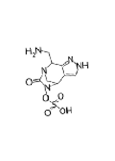 NCC1c2n[nH]cc2C2CN1C(=O)N2OS(=O)(=O)O